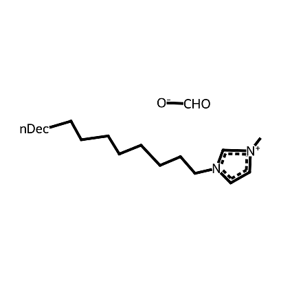 CCCCCCCCCCCCCCCCCCn1cc[n+](C)c1.O=C[O-]